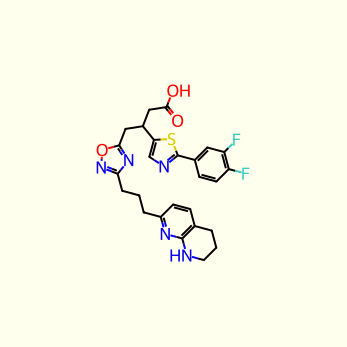 O=C(O)CC(Cc1nc(CCCc2ccc3c(n2)NCCC3)no1)c1cnc(-c2ccc(F)c(F)c2)s1